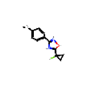 O=C(O)c1ccc(-c2noc(C3(F)CC3)n2)cc1